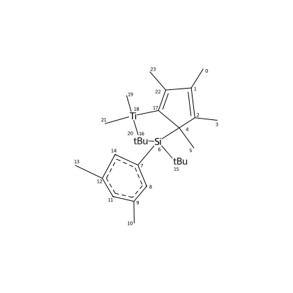 CC1=C(C)C(C)([Si](c2cc(C)cc(C)c2)(C(C)(C)C)C(C)(C)C)[C]([Ti]([CH3])([CH3])[CH3])=C1C